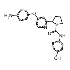 Nc1ccc(Oc2ccnc(C3CCCN3C(=O)Nc3ccc(O)cc3)c2)cc1